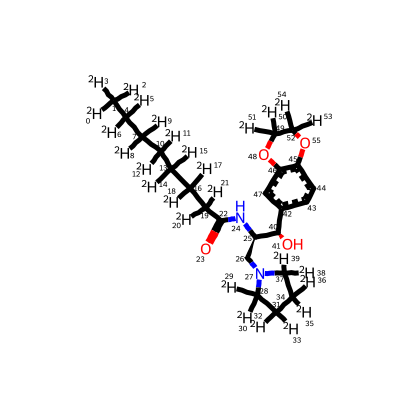 [2H]C([2H])([2H])C([2H])([2H])C([2H])([2H])C([2H])([2H])C([2H])([2H])C([2H])([2H])C([2H])([2H])C(=O)N[C@H](CN1C([2H])([2H])C([2H])([2H])C([2H])([2H])C1([2H])[2H])[C@H](O)c1ccc2c(c1)OC([2H])([2H])C([2H])([2H])O2